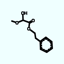 COC(O)C(=O)OCCc1ccccc1